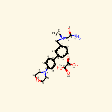 CN(CC(N)=O)Cc1cccc(-c2ccc(N3CCOCC3)cc2)c1.O=C(O)C(=O)O